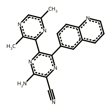 Cc1cnc(C)c(-c2nc(N)c(C#N)nc2-c2ccc3ncccc3c2)n1